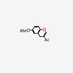 COc1ccc2c(c1)CC(C(C)=O)=CO2